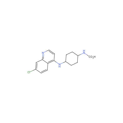 O=C(O)NC1CCC(Nc2ccnc3cc(Cl)ccc23)CC1